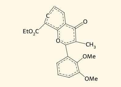 CCOC(=O)c1cccc2c(=O)c(C)c(-c3cccc(OC)c3OC)oc12